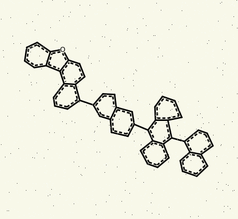 c1ccc2c(-c3c4ccccc4c(-c4ccc5cc(-c6cccc7c6ccc6oc8ccccc8c67)ccc5c4)c4ccccc34)cccc2c1